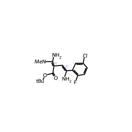 CN/C(N)=C(/C=C(\N)c1cc(Cl)ccc1F)C(=O)OC(C)(C)C